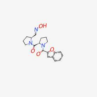 O=C([C@H]1CCCN1C(=O)c1cc2ccccc2o1)N1CCC[C@H]1C=NO